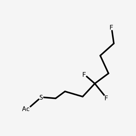 CC(=O)SCCCC(F)(F)CCCF